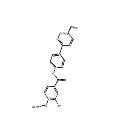 CCCCCCCCOc1ccc(C(=O)Oc2ccc(-c3ncc(CCCCCC)cn3)cc2)cc1Cl